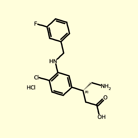 Cl.NC[C@H](CC(=O)O)c1ccc(Cl)c(NCc2cccc(F)c2)c1